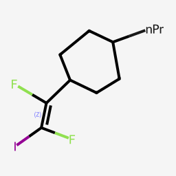 CCCC1CCC(/C(F)=C(\F)I)CC1